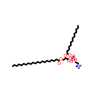 CCCCCCCCCCCCCCCCCCCCC(=O)OCC(COP(=O)(O)OCC[N+](C)(C)C)OC(=O)CCCCCCCCCCCCC